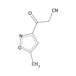 Cc1cc(C(=O)CC#N)no1